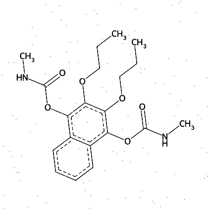 CCCOc1c(OCCC)c(OC(=O)NC)c2ccccc2c1OC(=O)NC